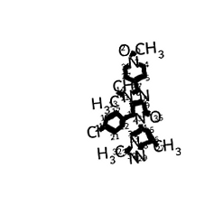 CC(=O)N1CC=C(c2nc3c(n2C(C)C)C(c2ccc(Cl)cc2)N(c2cc(C)c4nnc(C)n4c2)C3=O)CC1